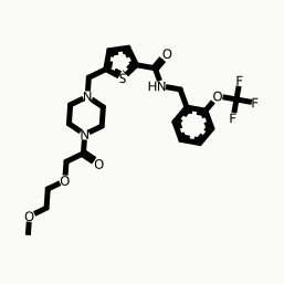 COCCOCC(=O)N1CCN(Cc2ccc(C(=O)NCc3ccccc3OC(F)(F)F)s2)CC1